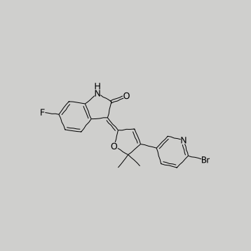 CC1(C)O/C(=C2/C(=O)Nc3cc(F)ccc32)C=C1c1ccc(Br)nc1